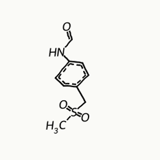 CS(=O)(=O)Cc1ccc(NC=O)cc1